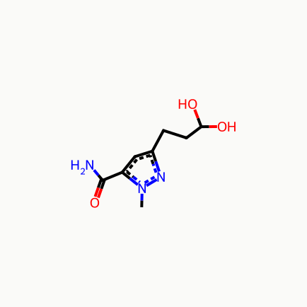 Cn1nc(CCC(O)O)cc1C(N)=O